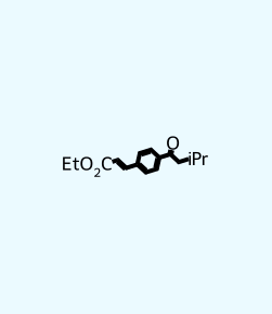 CCOC(=O)C=Cc1ccc(C(=O)CC(C)C)cc1